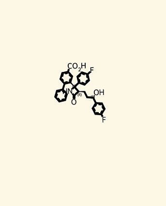 O=C(O)c1ccc(-c2ccccc2)c([C@]2(c3ccc(F)cc3)NC(=O)[C@@H]2CC[C@H](O)c2ccc(F)cc2)c1